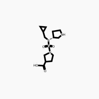 O=C(O)C1CCN(S(=O)(=O)N(CC2CC2)[C@@H]2CCNC2)C1